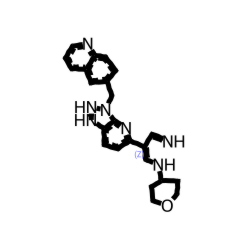 N=C/C(=C\NC1CCOCC1)c1ccc2c(n1)N(Cc1ccc3ncccc3c1)NN2